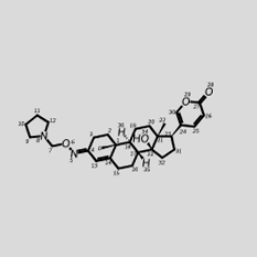 C[C@]12CCC(=NOCN3CCCC3)C=C1CC[C@@H]1[C@@H]2CC[C@]2(C)[C@@H](c3ccc(=O)oc3)CC[C@]12O